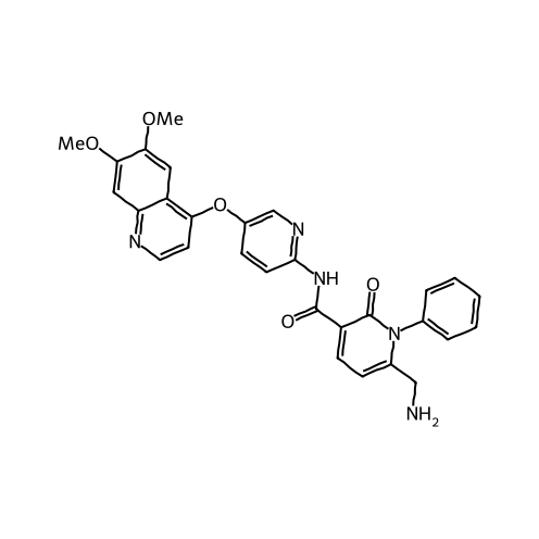 COc1cc2nccc(Oc3ccc(NC(=O)c4ccc(CN)n(-c5ccccc5)c4=O)nc3)c2cc1OC